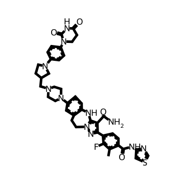 Cc1c(C(=O)Nc2cscn2)ccc(-c2nn3c(c2C(N)=O)Nc2ccc(N4CCN(CC5CCN(c6ccc(N7CCC(=O)NC7=O)cc6)C5)CC4)cc2CC3)c1F